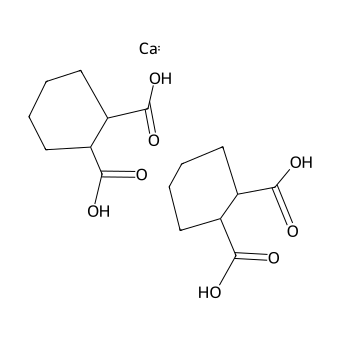 O=C(O)C1CCCCC1C(=O)O.O=C(O)C1CCCCC1C(=O)O.[Ca]